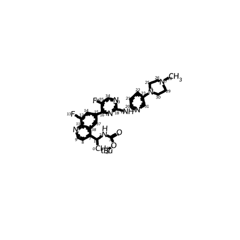 CC(NC(=O)OC(C)(C)C)c1ccnc2c(F)cc(-c3nc(Nc4ccc(N5CCN(C)CC5)cn4)ncc3F)cc12